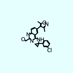 Cc1noc(C)c1-c1ccc2nc(C=O)nc(NC3(c4cccc(Cl)c4)CC3)c2c1